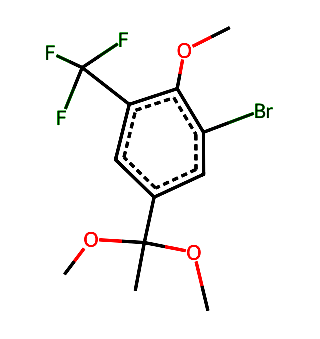 COc1c(Br)cc(C(C)(OC)OC)cc1C(F)(F)F